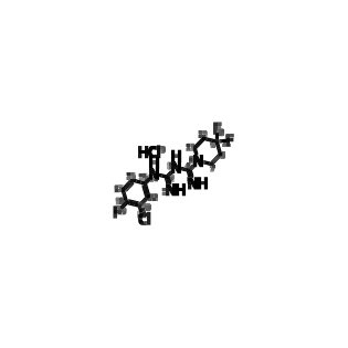 Cl.N=C(NC(=N)N1CCC(F)(F)CC1)Nc1ccc(F)c(Cl)c1